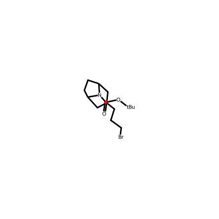 CC(C)(C)OC(=O)N1C2CCC1CC(CCCBr)C2